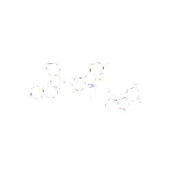 c1ccc2c(c1)ccc1c2c2ccccc2n1-c1ccc2c(c1)c1ccccc1n2C1Nc2ccc3oc4ccccc4c3c2O1